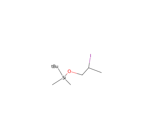 CC(I)CO[Si](C)(C)C(C)(C)C